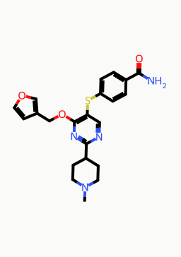 CN1CCC(c2ncc(Sc3ccc(C(N)=O)cc3)c(OCc3ccoc3)n2)CC1